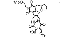 CCOC=CC(=O)N(Cc1sc2c(c1C)c(=O)n(CCOC)c(=O)n2CC1CCCO1)NC(=O)OC(C)(C)C